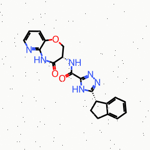 O=C(N[C@H]1COc2cccnc2NC1=O)c1nnc([C@H]2CCc3ccccc32)[nH]1